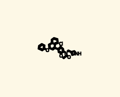 O=C1COc2cc(-c3cc(Oc4ccccc4)cc4ccccc34)c(Cl)cc2N1CC1CNC1